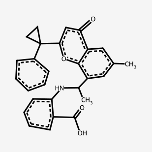 Cc1cc(C(C)Nc2ccccc2C(=O)O)c2oc(C3(c4ccccc4)CC3)cc(=O)c2c1